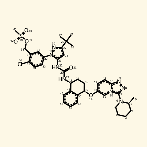 C[C@H]1CCCCN1c1nnc2ccc(O[C@@H]3CC[C@H](NC(=O)Nc4cc(C(C)(C)C)nn4-c4ccc(Cl)c(COS(C)(=O)=O)c4)c4ccccc43)cn12